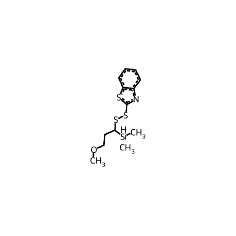 COCCC(SSc1nc2ccccc2s1)[SiH](C)C